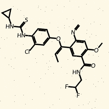 C=Nc1cc(OC)c(C(=O)NCC(F)F)cc1/C(=C\C)Oc1ccc(NC(=S)NC2CC2)c(Cl)c1